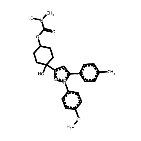 COc1ccc(-n2nc(C3(O)CCC(OC(=O)N(C)C)CC3)cc2-c2ccc(C)cc2)cc1